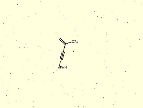 C=C(C#CCCCCC)OC(C)=O